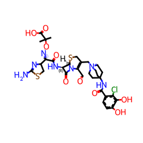 CC(C)(O/N=C(\C(=O)N[C@@H]1C(=O)N2C(C=O)=C(C[N+]34CCC(NC(=O)c5ccc(O)c(O)c5Cl)(CC3)CC4)CS[C@H]12)C1CSC(N)=N1)C(=O)O